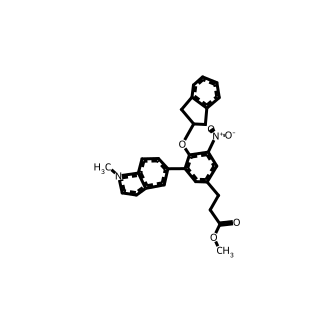 COC(=O)CCc1cc(-c2ccc3c(ccn3C)c2)c(OC2Cc3ccccc3C2)c([N+](=O)[O-])c1